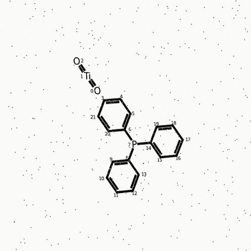 [O]=[Ti]=[O].c1ccc(P(c2ccccc2)c2ccccc2)cc1